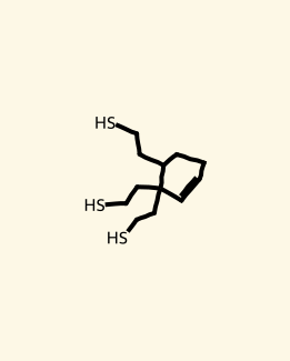 SCCC1CCC=CC1(CCS)CCS